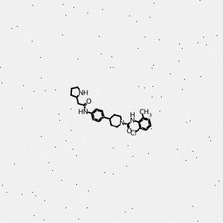 Cc1cccc(Cl)c1NC(=O)N1CCC(c2ccc(NC(=O)CC3CCCN3)cc2)CC1